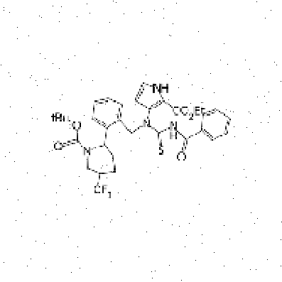 CCOC(=O)c1[nH]ccc1N(Cc1ccccc1C1CCC(C(F)(F)F)CN1C(=O)OC(C)(C)C)C(=S)NC(=O)c1ccccc1